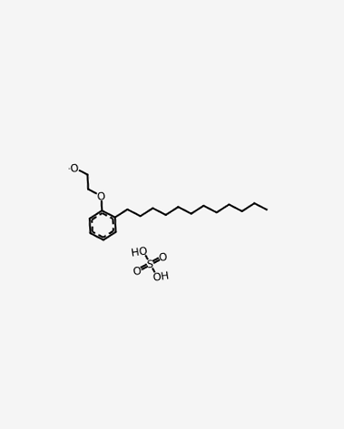 CCCCCCCCCCCCc1ccccc1OCC[O].O=S(=O)(O)O